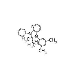 Cc1cc(C)c(C)c(N2c3cccnc3N(c3ccccc3)C2(C)C)c1